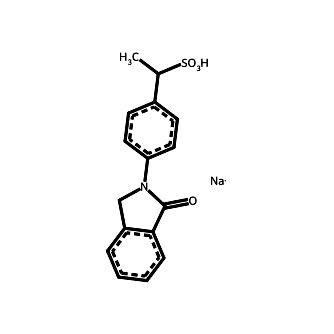 CC(c1ccc(N2Cc3ccccc3C2=O)cc1)S(=O)(=O)O.[Na]